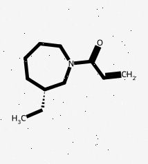 C=CC(=O)N1CCCC[C@@H](CC)C1